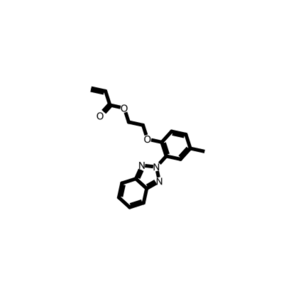 C=CC(=O)OCCOc1ccc(C)cc1-n1nc2ccccc2n1